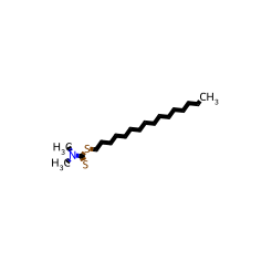 CCCCCCCCCCCCCCCCSC(=S)N(C)C